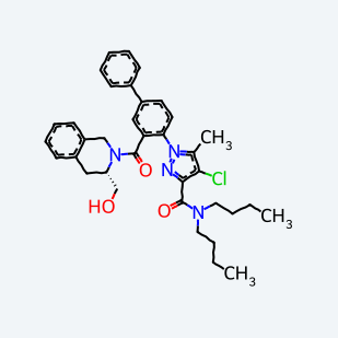 CCCCN(CCCC)C(=O)c1nn(-c2ccc(-c3ccccc3)cc2C(=O)N2Cc3ccccc3C[C@H]2CO)c(C)c1Cl